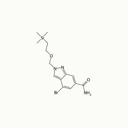 C[Si](C)(C)CCOCn1cc2c(Br)cc(C(N)=O)cc2n1